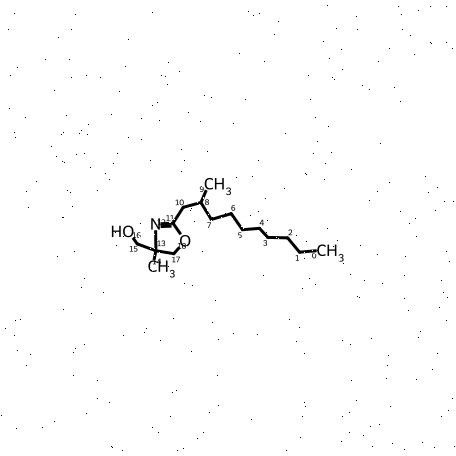 CCCCCCCCC(C)CC1=NC(C)(CO)CO1